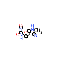 CC(Nc1ccc2c(c1)Cc1cccc(-c3cc(N4CCOCC4)cc(=O)[nH]3)c1O2)c1cccnc1